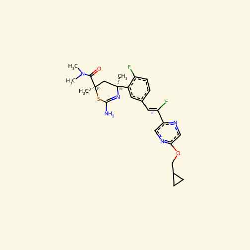 CN(C)C(=O)[C@@]1(C)C[C@@](C)(c2cc(/C=C(\F)c3cnc(OCC4CC4)cn3)ccc2F)N=C(N)S1